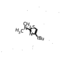 CN(C)c1nc(C(C)(C)C)cs1